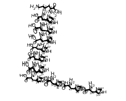 NCCCC[C@H](N)C(=O)O.N[C@@H](Cc1c[nH]cn1)C(=O)O.N[C@@H](Cc1c[nH]cn1)C(=O)O.N[C@@H](Cc1c[nH]cn1)C(=O)O.N[C@@H](Cc1c[nH]cn1)C(=O)O.N[C@@H](Cc1c[nH]cn1)C(=O)O.N[C@@H](Cc1c[nH]cn1)C(=O)O.N[C@@H](Cc1c[nH]cn1)C(=O)O.N[C@@H](Cc1c[nH]cn1)C(=O)O.N[C@@H](Cc1c[nH]cn1)C(=O)O.N[C@@H](Cc1c[nH]cn1)C(=O)O